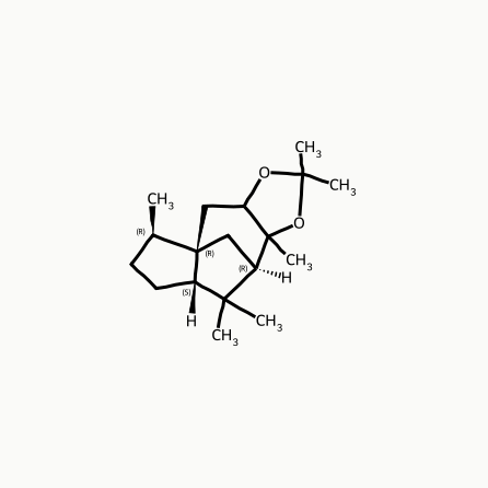 C[C@@H]1CC[C@H]2C(C)(C)[C@H]3C[C@@]12CC1OC(C)(C)OC13C